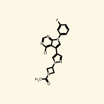 CC(=O)N1CC(n2cc(-c3cn(-c4cccc(F)c4)c4ncnc(Cl)c34)cn2)C1